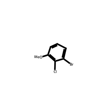 COc1c[c]cc(Br)c1Cl